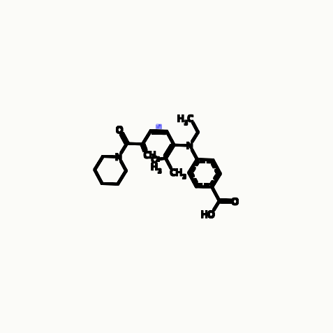 C=C(/C=C\C(=C(C)C)N(CC)c1ccc(C(=O)O)cc1)C(=O)N1CCCCC1